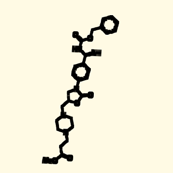 COC(=O)CCN1CCN(CC2CN(c3ccc(C(=N)NC(=O)OCc4ccccc4)cc3)C(=O)O2)CC1